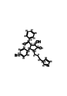 O=C(C1=C(O)C(=O)N(CCCn2ccnc2)C1c1ccc(Br)cc1)c1ccccc1